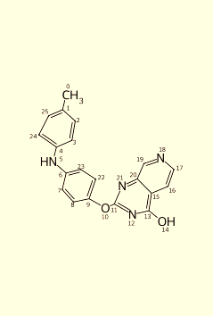 Cc1ccc(Nc2ccc(Oc3nc(O)c4ccncc4n3)cc2)cc1